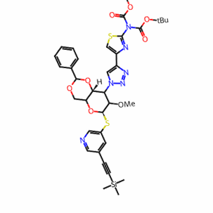 COC1C(n2cc(-c3csc(N(C(=O)OC(C)(C)C)C(=O)OC(C)(C)C)n3)nn2)[C@H]2OC(c3ccccc3)OCC2O[C@@H]1Sc1cncc(C#C[Si](C)(C)C)c1